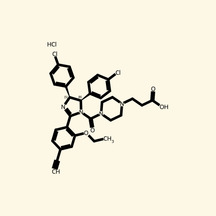 C#Cc1ccc(C2=N[C@@H](c3ccc(Cl)cc3)[C@@H](c3ccc(Cl)cc3)N2C(=O)N2CCN(CCC(=O)O)CC2)c(OCC)c1.Cl